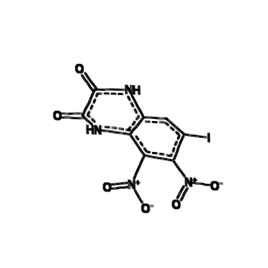 O=c1[nH]c2cc(I)c([N+](=O)[O-])c([N+](=O)[O-])c2[nH]c1=O